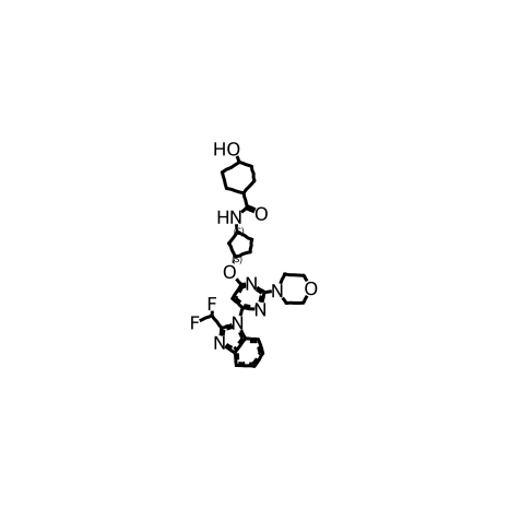 O=C(N[C@H]1CC[C@H](Oc2cc(-n3c(C(F)F)nc4ccccc43)nc(N3CCOCC3)n2)C1)C1CCC(O)CC1